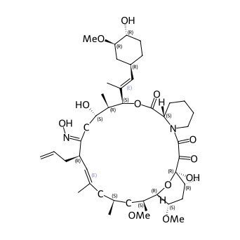 C=CC[C@@H]1/C=C(\C)C[C@H](C)C[C@H](OC)[C@H]2O[C@@](O)(C(=O)C(=O)N3CCCC[C@H]3C(=O)O[C@H](/C(C)=C/[C@@H]3CC[C@@H](O)[C@H](OC)C3)[C@H](C)[C@@H](O)CC1=NO)[C@H](C)C[C@@H]2OC